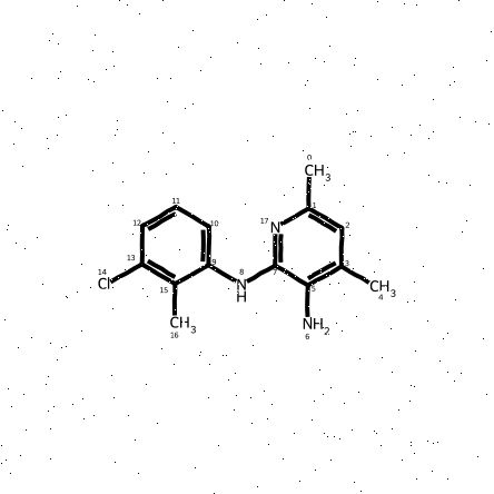 Cc1cc(C)c(N)c(Nc2cc[c]c(Cl)c2C)n1